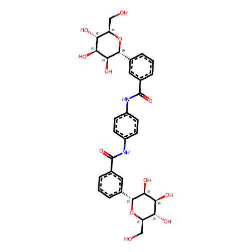 O=C(Nc1ccc(NC(=O)c2cccc([C@H]3O[C@H](CO)[C@@H](O)[C@H](O)[C@@H]3O)c2)cc1)c1cccc([C@H]2O[C@H](CO)[C@@H](O)[C@H](O)[C@@H]2O)c1